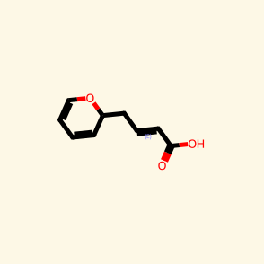 O=C(O)/C=C/CC1C=CC=CO1